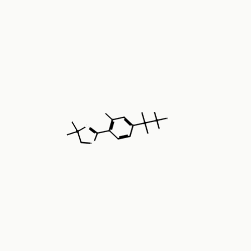 CC1(C)COC(c2ccc(C(C)(C)C(F)(F)F)cc2F)=N1